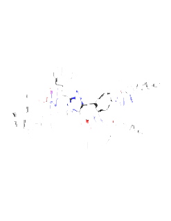 C=CCC(C(=O)OC)N(C(=O)C(F)(F)F)c1cc(NC(=O)OC)ccc1-c1cn(COCC[Si](C)(C)C)c([C@H](CC=C)NC(=O)OC(C)(C)C)n1